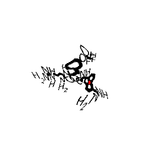 C[C@@](Cc1ccc(C(=N)N)cc1)(C(=O)N[C@H](C(=O)NC(CCCNC(=N)N)C(N)=O)C1CCCCC1)c1ccccc1.O=C(O)C(F)(F)F